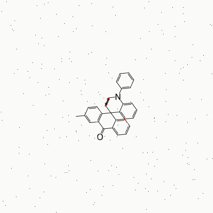 Cc1ccc2c(c1)C(=O)c1ccccc1C21c2ccccc2N(c2ccccc2)c2ccccc21